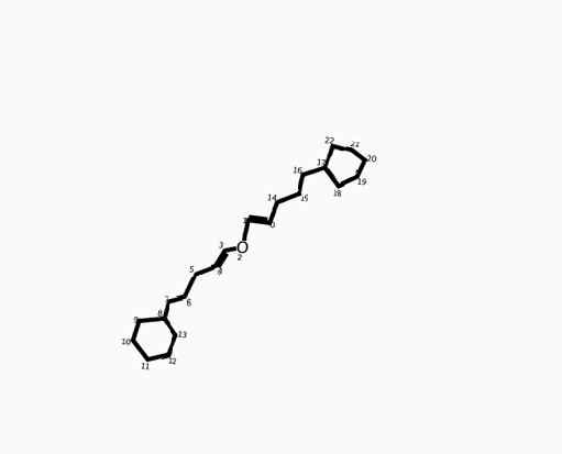 C(=COC=CCCCC1CCCCC1)CCCC1CCCCC1